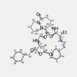 CC/C(=N\C=C/c1ccccc1)C(=O)N[C@H]1CCC(=O)N2CCC[C@@H](C(=O)N[C@H]3CC(=O)O[C@H]3OCc3ccccc3)N2C1=O